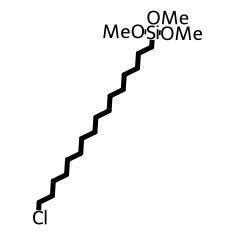 CO[Si](CCCCCCCCCCCCCCCCCl)(OC)OC